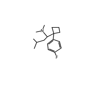 CC(C)CC(N(C)C)C1(c2ccc(F)cc2)CCC1